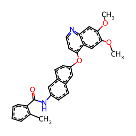 COc1cc2nccc(Oc3ccc4cc(NC(=O)c5ccccc5C)ccc4c3)c2cc1OC